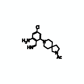 CC(=O)N1CCC2(CCN(c3cc(Cl)cc(N)c3C=N)CC2)C1